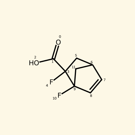 O=C(O)C1(F)CC2C=CC1(F)C2